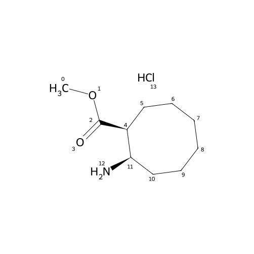 COC(=O)[C@H]1CCCCCC[C@H]1N.Cl